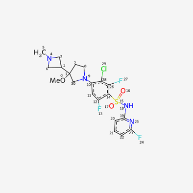 COC1(C2CN(C)C2)CCN(c2cc(F)c(S(=O)(=O)Nc3cccc(F)n3)c(F)c2Cl)C1